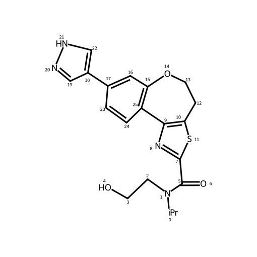 CC(C)N(CCO)C(=O)c1nc2c(s1)CCOc1cc(-c3cn[nH]c3)ccc1-2